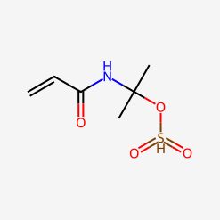 C=CC(=O)NC(C)(C)O[SH](=O)=O